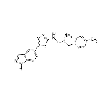 Cc1cc2[nH]ncc2cc1-c1nnc(NCC(N)Cc2ccc(C(F)(F)F)cc2)s1